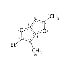 CCc1oc2cc(C)oc2c1C